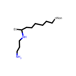 CCCCCCCCCCCCCCCC(CC)NCCCN